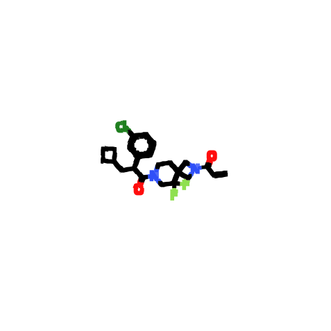 C=CC(=O)N1CC2(CCN(C(=O)C(CC3CCC3)c3cccc(Cl)c3)CC2(F)F)C1